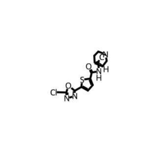 O=C(N[C@H]1CN2CCC1CC2)c1ccc(-c2nnc(Cl)o2)s1